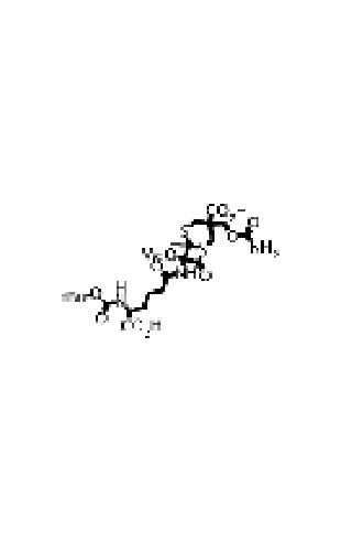 COC1(NC(=O)CCCC(NC(=O)OC(C)(C)C)C(=O)O)C(=O)N2CC(COC(N)=O)(C(=O)O)CS[C@@H]21